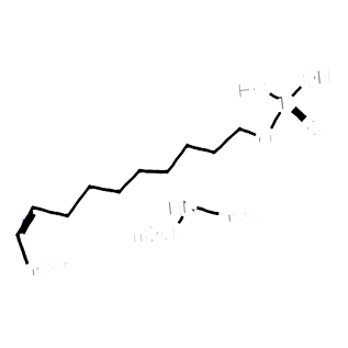 CCCCCCCC/C=C\CCCCCCCCOP(=O)(O)O.CCCCCCCCNCCCCCCCC